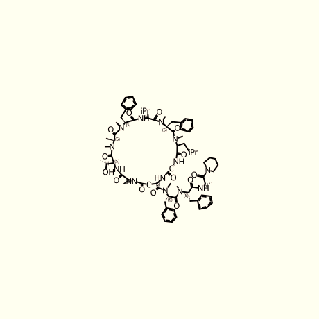 CC(C)CC1C(=O)NCC(=O)N[C@H](C(=O)N(C)[C@@H](Cc2ccccc2)C(=O)N(C)[C@@H](Cc2ccccc2)C(=O)N[C@@H](C)C(=O)N2CCCCC2)CC(=O)N[C@@H](C)C(=O)N[C@@H]([C@@H](C)O)C(=O)N(C)[C@@H](C)C(=O)N(C)[C@@H](Cc2ccccc2)C(=O)N[C@@H](C(C)C)C(=O)N(C)[C@@H](Cc2ccccc2)C(=O)N1C